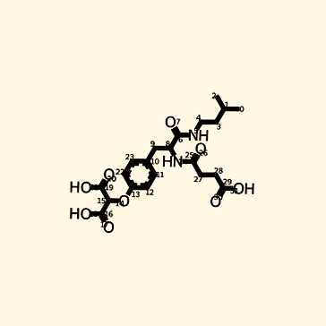 CC(C)CCNC(=O)C(Cc1ccc(OC(C(=O)O)C(=O)O)cc1)NC(=O)CCC(=O)O